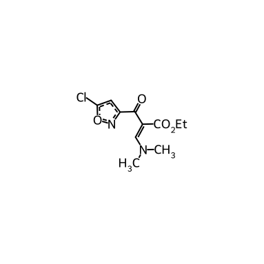 CCOC(=O)C(=CN(C)C)C(=O)c1cc(Cl)on1